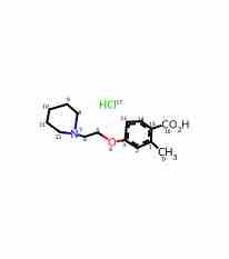 Cc1cc(OCCN2CCCCC2)ccc1C(=O)O.Cl